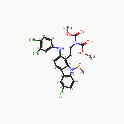 CC(C)(C)OC(=O)N(CCc1c(Nc2ccc(Cl)c(Cl)c2)ccc2c3cc(Cl)ccc3n(SI)c12)C(=O)OC(C)(C)C